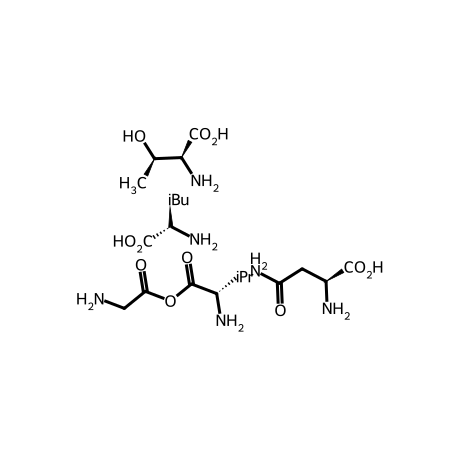 CC(C)[C@H](N)C(=O)OC(=O)CN.CC[C@H](C)[C@H](N)C(=O)O.C[C@@H](O)[C@H](N)C(=O)O.NC(=O)C[C@H](N)C(=O)O